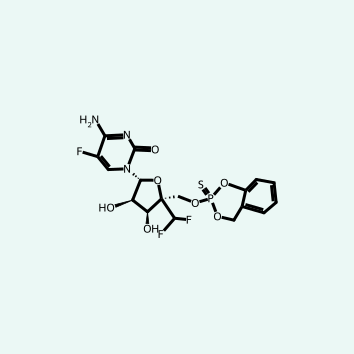 Nc1nc(=O)n([C@@H]2O[C@@](COP3(=S)OCc4ccccc4O3)(C(F)F)[C@@H](O)[C@H]2O)cc1F